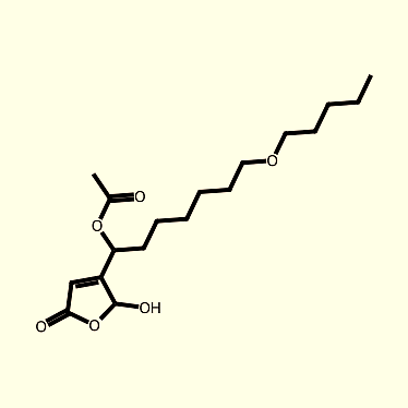 CCCCCOCCCCCCC(OC(C)=O)C1=CC(=O)OC1O